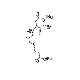 CC(C)COC(=O)CCSCC(C)CNC(CC(=O)OC(C)(C)C)C(=O)CBr